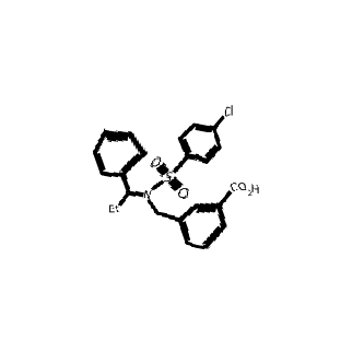 CCC(c1ccccc1)N(Cc1cccc(C(=O)O)c1)S(=O)(=O)c1ccc(Cl)cc1